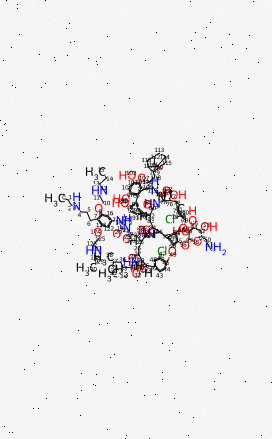 CCCNCCCc1c(OCCNCCC)cc(NC(=O)NC(=O)C[C@@H]2CC(=O)[C@H](NC(=O)[C@H](CC)CC(C)C)[C@H](O)c3ccc(c(Cl)c3)Oc3cc4cc(c3O[C@@H]3O[C@H](CN)[C@@H](O)[C@H](O)[C@H]3O)Oc3ccc(cc3Cl)[C@@H](O)[C@@H]3NC(=O)[C@H](CC(=O)[C@@H]4NC2=O)c2ccc(O)c(c2)-c2c(O)cc(O)cc2[C@@H](C(=O)CC2C4CC5CC(C4)CC2C5)NC3=O)cc1OCCNCCC